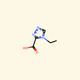 CCn1cnnc1C(=O)O